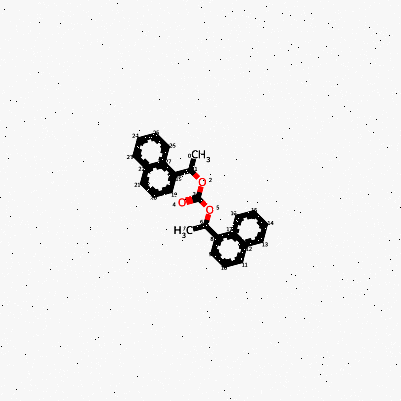 CC(OC(=O)OC(C)c1cccc2ccccc12)c1cccc2ccccc12